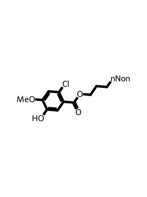 CCCCCCCCCCCCOC(=O)c1cc(O)c(OC)cc1Cl